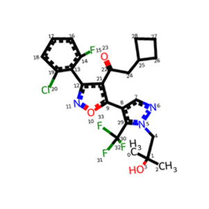 CC(C)(O)Cn1ncc(-c2onc(-c3c(F)cccc3Cl)c2C(=O)CC2CCC2)c1C(F)(F)F